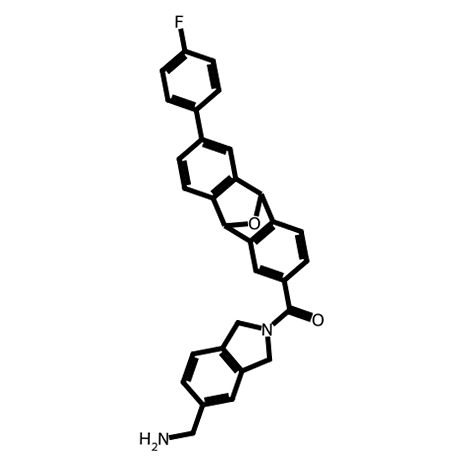 NCc1ccc2c(c1)CN(C(=O)c1ccc3c(c1)C1OC3c3cc(-c4ccc(F)cc4)ccc31)C2